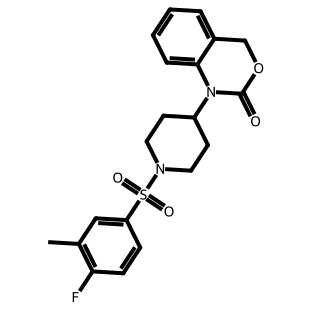 Cc1cc(S(=O)(=O)N2CCC(N3C(=O)OCc4ccccc43)CC2)ccc1F